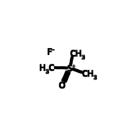 C[S+](C)(C)=O.[F-]